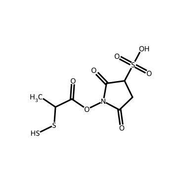 CC(SS)C(=O)ON1C(=O)CC(S(=O)(=O)O)C1=O